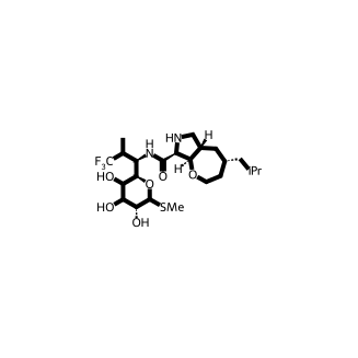 CSC1O[C@H]([C@H](NC(=O)[C@H]2NC[C@@H]3C[C@H](CC(C)C)CCO[C@H]32)C(C)C(F)(F)F)C(O)C(O)[C@H]1O